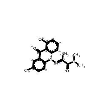 CN(C)C(=O)/C(N)=N/Nc1ccc(Cl)cc1C(=O)c1ccccc1Cl